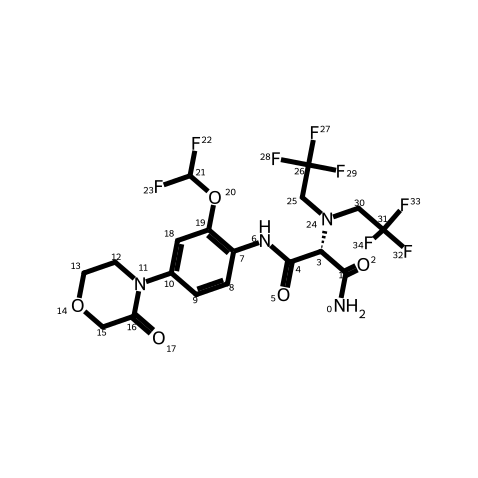 NC(=O)[C@H](C(=O)Nc1ccc(N2CCOCC2=O)cc1OC(F)F)N(CC(F)(F)F)CC(F)(F)F